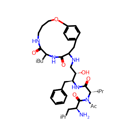 CCC(C)C1NC(=O)C(NC[C@H](O)[C@H](Cc2ccccc2)NC(=O)[C@H](C(C)C)N(C(C)=O)C(=O)[C@@H](N)CC(C)C)Cc2ccc(cc2)OCCCNC1=O